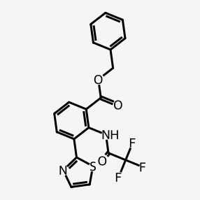 O=C(OCc1ccccc1)c1cccc(-c2nccs2)c1NC(=O)C(F)(F)F